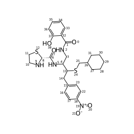 O=C(NCC(NC(=O)[C@@H]1NCCS1)C(Cc1ccc([N+](=O)[O-])cc1)SCC1CCCCC1)c1ccccc1O